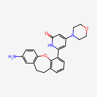 Nc1ccc2c(c1)CCc1cccc(-c3cc(N4CCOCC4)cc(=O)[nH]3)c1O2